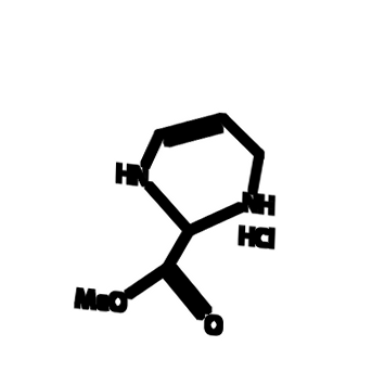 COC(=O)C1NC=CCN1.Cl